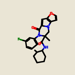 CC1CCCCC1NC(=O)C1(C)Cn2c(cc3occc32)C(=O)N1c1cccc(F)c1